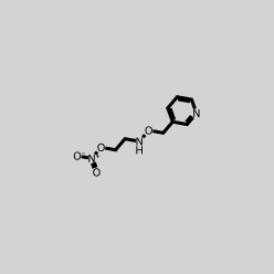 O=[N+]([O-])OCCNOCc1cccnc1